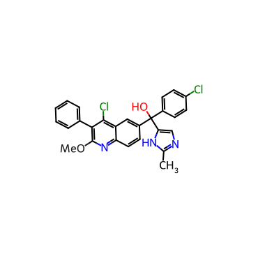 COc1nc2ccc(C(O)(c3ccc(Cl)cc3)c3cnc(C)[nH]3)cc2c(Cl)c1-c1ccccc1